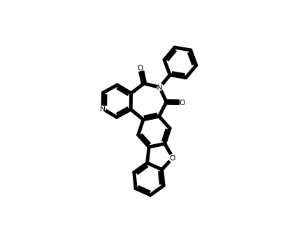 O=c1c2ccncc2c2cc3c(cc2c(=O)n1-c1ccccc1)oc1ccccc13